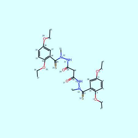 CCOc1ccc(OCC)c(C(=S)N(C)NC(=O)CC(=O)NN(C)C(=S)c2cc(OCC)ccc2OCC)c1